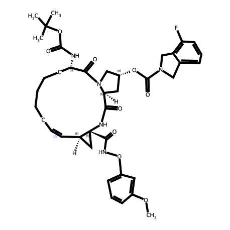 COc1cccc(ONC(=O)[C@@]23C[C@H]2/C=C\CCCCC[C@H](NC(=O)OC(C)(C)C)C(=O)N2C[C@H](OC(=O)N4Cc5cccc(F)c5C4)C[C@H]2C(=O)N3)c1